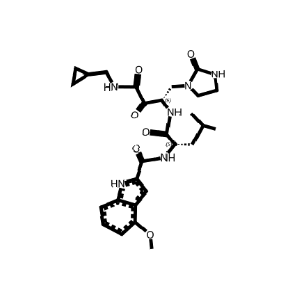 COc1cccc2[nH]c(C(=O)N[C@@H](CC(C)C)C(=O)N[C@@H](CN3CCNC3=O)C(=O)C(=O)NCC3CC3)cc12